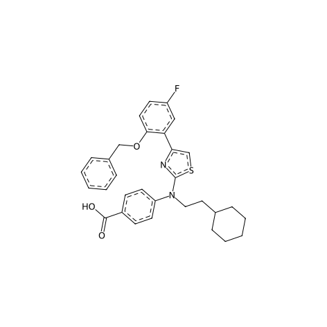 O=C(O)c1ccc(N(CCC2CCCCC2)c2nc(-c3cc(F)ccc3OCc3ccccc3)cs2)cc1